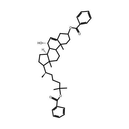 C[C@H](CCCC(C)(C)OC(=O)c1ccccc1)C1CC[C@H]2C3C(CCC12C)C1(C)CCC(OC(=O)c2ccccc2)CC1=C[C@H]3O